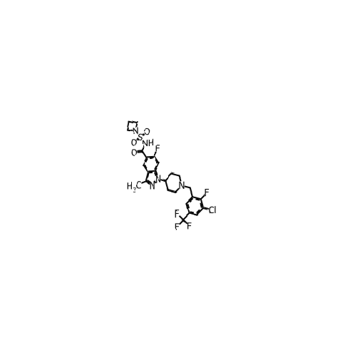 Cc1nn(C2CCN(Cc3cc(C(F)(F)F)cc(Cl)c3F)CC2)c2cc(F)c(C(=O)NS(=O)(=O)N3CCC3)cc12